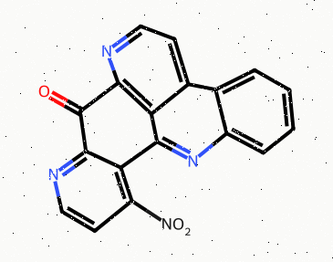 O=C1c2nccc([N+](=O)[O-])c2-c2nc3ccccc3c3ccnc1c23